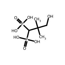 CC(C)(CO)C(P(=O)(O)O)P(=O)(O)O